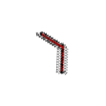 C[SiH](O[SiH](C)O[SiH](C)O[SiH](C)O[SiH](C)O[SiH](C)O[SiH](C)O[SiH](C)O[SiH](C)O[SiH](C)O[SiH](C)O[SiH](C)O[SiH](C)O[SiH](C)O[SiH](C)O[SiH](C)O[SiH](C)O[SiH](C)O[SiH](C)O[SiH](C)O[Si](C)(C)C)O[SiH](C)O[SiH](C)O[SiH](C)O[SiH](C)O[SiH](C)O[SiH](C)O[SiH](C)O[SiH](C)O[SiH](C)O[SiH](C)O[SiH](C)O[SiH](C)O[SiH](C)O[SiH](C)O[SiH](C)O[SiH](C)O[SiH](C)O[SiH](C)O[Si](C)(C)C